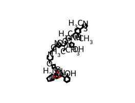 COc1cc(-c2scnc2C)ccc1[C@H](C)NC(=O)[C@@H]1C[C@@H](O)CN1C(=O)[C@H](c1cc(OCCN2CCC(O[C@H]3C[C@H](Oc4cc(N5C6CCC5CN(c5cc(-c7ccccc7O)nnc5N)C6)ccn4)C3)CC2)no1)C(C)C